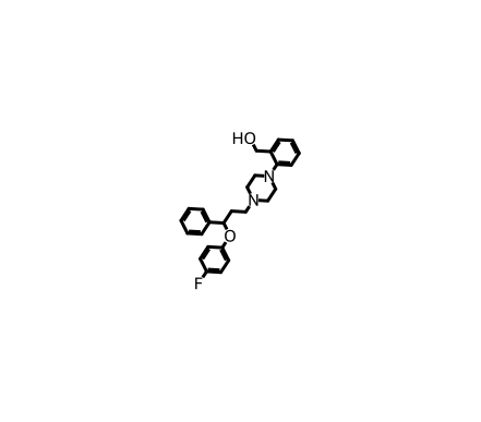 OCc1ccccc1N1CCN(CCC(Oc2ccc(F)cc2)c2ccccc2)CC1